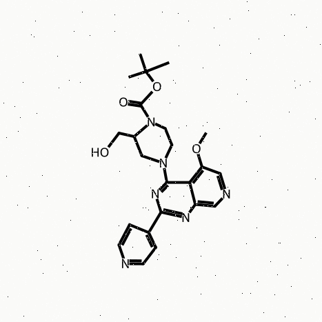 COc1cncc2nc(-c3ccncc3)nc(N3CCN(C(=O)OC(C)(C)C)C(CO)C3)c12